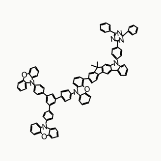 CC1(C)c2cc(-c3cccc4c3Oc3ccccc3N4c3ccc(-c4cc(-c5ccc(N6c7ccccc7Oc7ccccc76)cc5)cc(-c5ccc(N6c7ccccc7Oc7ccccc76)cc5)c4)cc3)ccc2-c2cc3c4ccccc4n(-c4ccc(-c5nc(-c6ccccc6)nc(-c6ccccc6)n5)cc4)c3cc21